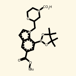 CC(C)(C)OC(=O)c1cc(B2OC(C)(C)C(C)(C)O2)c2c(ccn2CC2CN(C(=O)O)CCO2)c1